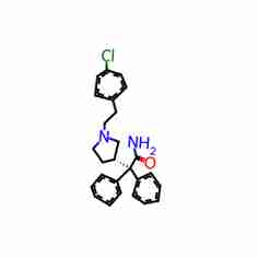 NC(=O)C(c1ccccc1)(c1ccccc1)[C@@H]1CCN(CCc2ccc(Cl)cc2)C1